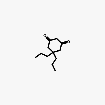 CCCC1(CCC)CC(=O)CC(=O)C1